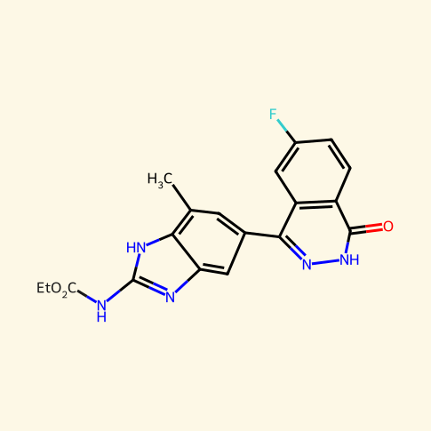 CCOC(=O)Nc1nc2cc(-c3n[nH]c(=O)c4ccc(F)cc34)cc(C)c2[nH]1